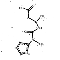 CN(CC(=O)O)NC(=O)N(C)c1cccs1